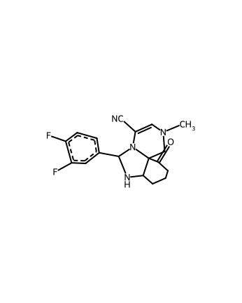 CN1C=C(C#N)N2C(c3ccc(F)c(F)c3)NC3CCCC(=O)C32C1